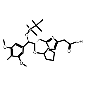 COc1cc([C@@H](O[Si](C)(C)C(C)(C)C)[C@H](Cc2nc(CC(=O)O)cs2)OC2CCCC2)cc(OC)c1C